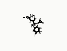 Fc1cc2nc(-c3cnnc(S)c3)n(C3CC3)c2cc1F